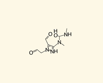 CNC(O)N(C)c1[nH]n(CC=O)c1C=O